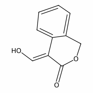 O=C1OCc2ccccc2/C1=C\O